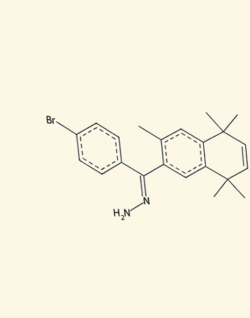 Cc1cc2c(cc1/C(=N/N)c1ccc(Br)cc1)C(C)(C)C=CC2(C)C